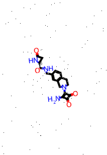 Nc1c(N2CCc3ccc(CNC(=O)[C@@H]4CC(=O)N4)cc3C2)c(=O)c1=O